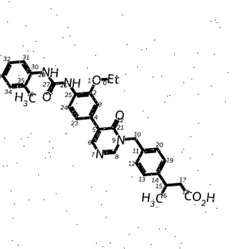 CCOc1cc(-c2cncn(Cc3ccc(C(C)CC(=O)O)cc3)c2=O)ccc1NC(=O)Nc1ccccc1C